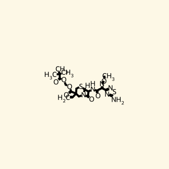 C=CC1(C(=O)OCOC(=O)C(C)(C)C)CS[C@@H]2C(NC(=O)C(=NOC)c3nsc(N)n3)C(=O)N2C1